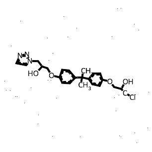 CC(C)(c1ccc(OCC(O)CCl)cc1)c1ccc(OCC(O)Cn2ccnn2)cc1